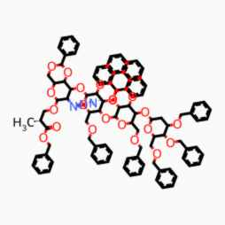 C[C@H](COC1OC2COC(c3ccccc3)OC2C(OC2OC(COCc3ccccc3)C(OC3OC(COCc4ccccc4)C(OC4CC(OCc5ccccc5)C(OCc5ccccc5)C(COCc5ccccc5)O4)C(OCc4ccccc4)C3OCc3ccccc3)C(OCc3ccccc3)C2OCc2ccccc2)C1N=[N+]=[N-])C(=O)OCc1ccccc1